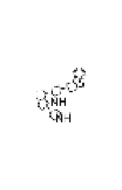 C1=CC2SC3CCC(C4CCCC(N[C@@H]5C6=C(CCC=C6)CCC5C5CCNCC5)C4)CC3C2C=C1